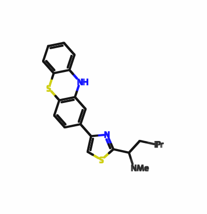 CNC(CC(C)C)c1nc(-c2ccc3c(c2)Nc2ccccc2S3)cs1